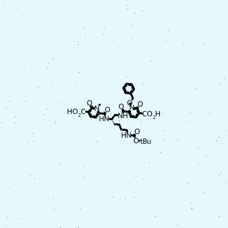 Cn1c(C(=O)N[C@@H](CCCCNC(=O)OC(C)(C)C)CNC(=O)c2ccc(C(=O)O)c(=O)n2OCc2ccccc2)ccc(C(=O)O)c1=O